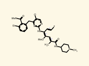 CCc1cccc(Cc2nc(NC(/C=C/F)=C(/C=C(\C)C(=O)NC3CCN(C)CC3)OC)ncc2Cl)c1C(=O)NC